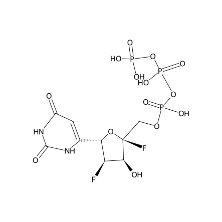 O=c1cc([C@@H]2O[C@](F)(COP(=O)(O)OP(=O)(O)OP(=O)(O)O)[C@@H](O)[C@H]2F)[nH]c(=O)[nH]1